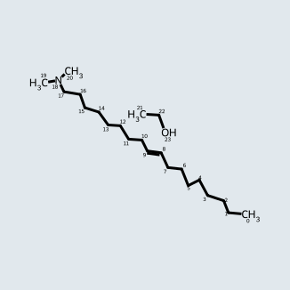 CCCCCCCCC=CCCCCCCCCN(C)C.CCO